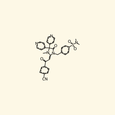 CN1C(=CC(=O)c2ccc(C#N)cc2)N(Cc2ccc(S(=O)(=O)N(C)C)cc2)C(=O)C1(c1ccncc1)c1ccncc1